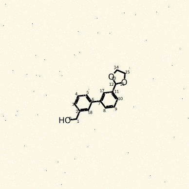 OCc1cccc(-c2cccc(C3OCCO3)c2)c1